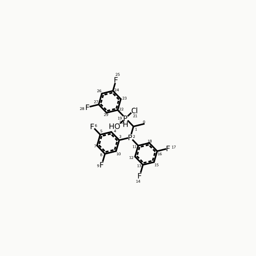 CC(P(c1cc(F)cc(F)c1)c1cc(F)cc(F)c1)[PH](O)(Cl)c1cc(F)cc(F)c1